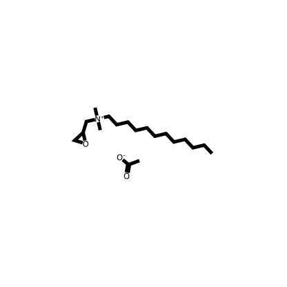 CC(=O)[O-].CCCCCCCCCCCC[N+](C)(C)CC1CO1